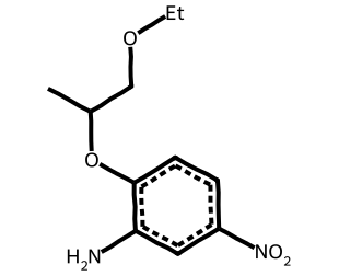 CCOCC(C)Oc1ccc([N+](=O)[O-])cc1N